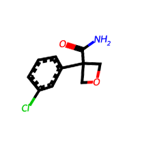 NC(=O)C1(c2cccc(Cl)c2)COC1